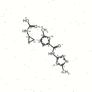 Cc1nnc(NC(=O)c2cc([C@@H]3C[C@H]3NC(=O)O)c(C)s2)s1